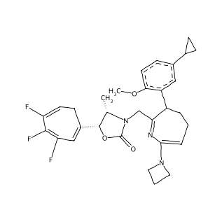 COc1ccc(C2CC2)cc1C1CCC=C(N2CCC2)N=C1CN1C(=O)O[C@H](C2=CC(F)=C(F)C(F)=CC2)[C@@H]1C